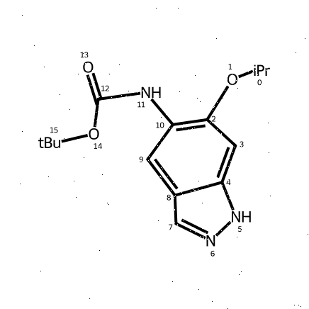 CC(C)Oc1cc2[nH]ncc2cc1NC(=O)OC(C)(C)C